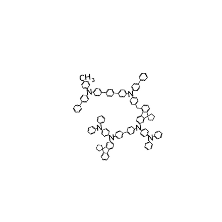 Cc1ccc(N(c2ccc(-c3ccccc3)cc2)c2ccc(-c3ccc(-c4ccc(N(c5ccc(Cc6cccc7c6-c6ccc(N(c8ccc(-c9ccc(N(c%10ccc(N(c%11ccccc%11)c%11ccccc%11)cc%10)c%10ccc%11c(c%10)C%10(CCCC%10)c%10ccccc%10-%11)cc9)cc8)c8ccc(N(c9ccccc9)c9ccccc9)cc8)cc6C76CCCC6)cc5)c5ccc(-c6ccccc6)cc5)cc4)cc3)cc2)cc1